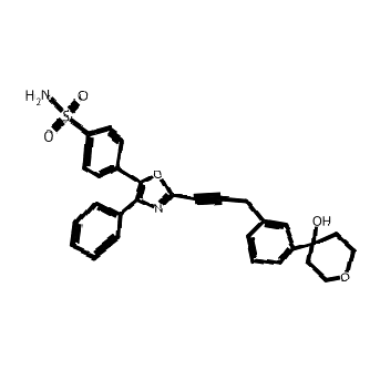 NS(=O)(=O)c1ccc(-c2oc(C#CCc3cccc(C4(O)CCOCC4)c3)nc2-c2ccccc2)cc1